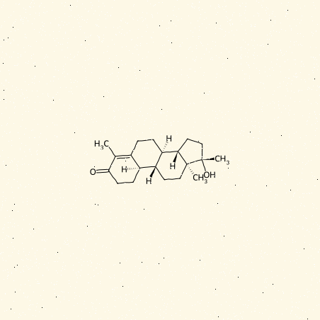 CC1=C2CC[C@@H]3[C@H](CC[C@@]4(C)[C@H]3CC[C@]4(C)O)[C@H]2CCC1=O